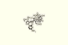 CC(O)C(O)C(O)CC=O.Nc1ccn([C@@H]2O[C@H](CO)[C@@H](O)[C@H]2O)c(=O)n1.O=P(O)(O)OP(=O)(O)OP(=O)(O)O